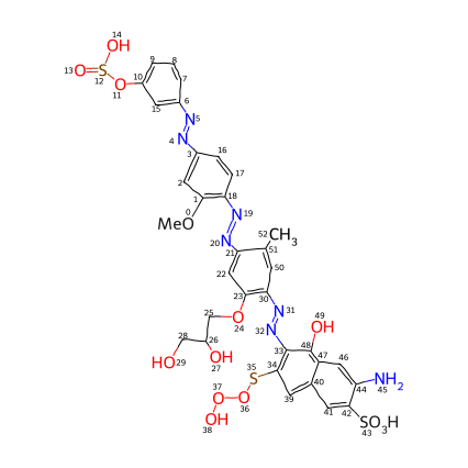 COc1cc(N=Nc2cccc(OS(=O)O)c2)ccc1N=Nc1cc(OCC(O)CO)c(N=Nc2c(SOOO)cc3cc(S(=O)(=O)O)c(N)cc3c2O)cc1C